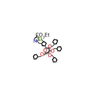 CCOC(=O)c1cnc(Cc2cc([C@@H]3O[C@H](COCc4ccccc4)[C@@H](OCc4ccccc4)[C@H](OCc4ccccc4)[C@H]3OCc3ccccc3)ccc2Cl)s1